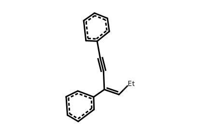 CC/C=C(\C#Cc1ccccc1)c1ccccc1